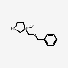 [O-][N+]1(CSCc2ccccc2)CCNC1